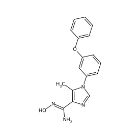 Cc1c(C(N)=NO)ncn1-c1cccc(Oc2ccccc2)c1